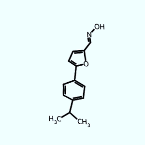 CC(C)c1ccc(-c2ccc(/C=N/O)o2)cc1